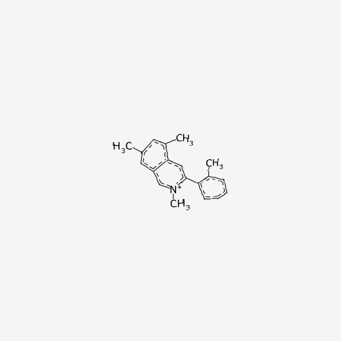 Cc1cc(C)c2cc(-c3ccccc3C)[n+](C)cc2c1